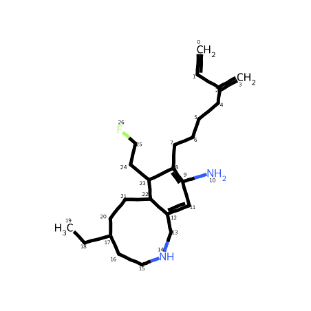 C=CC(=C)CCCCC1=C(N)C=C2CNCCC(CC)CCC2C1CCF